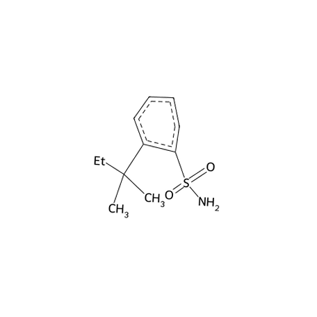 CCC(C)(C)c1ccccc1S(N)(=O)=O